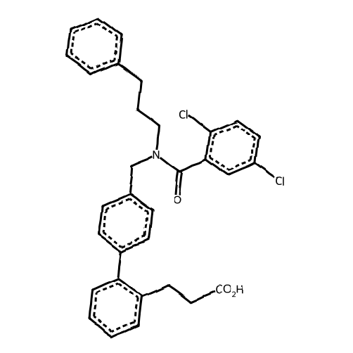 O=C(O)CCc1ccccc1-c1ccc(CN(CCCc2ccccc2)C(=O)c2cc(Cl)ccc2Cl)cc1